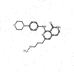 COCCCc1cc2cc[nH]c(=O)c2c(Nc2ccc(N3CCOCC3)cc2)n1